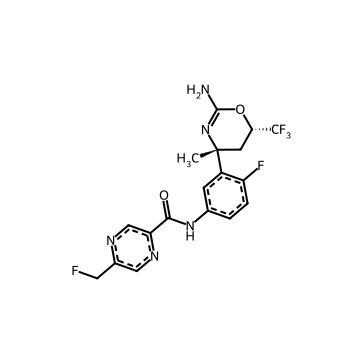 C[C@]1(c2cc(NC(=O)c3cnc(CF)cn3)ccc2F)C[C@@H](C(F)(F)F)OC(N)=N1